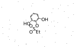 CCS(=O)(=O)Oc1c(O)cccc1O